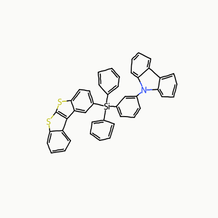 c1ccc([Si](c2ccccc2)(c2cccc(-n3c4ccccc4c4ccccc43)c2)c2ccc3sc4sc5ccccc5c4c3c2)cc1